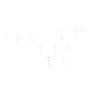 C=C1CC(c2ccc(Cl)cc2)Cc2c3c(cc(CC)c21)CC(C)(C)C=C3